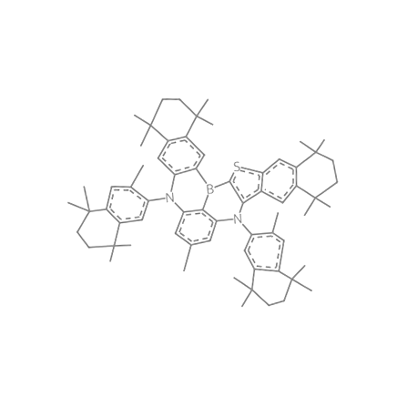 Cc1cc2c3c(c1)N(c1cc4c(cc1C)C(C)(C)CCC4(C)C)c1c(sc4cc5c(cc14)C(C)(C)CCC5(C)C)B3c1cc3c(cc1N2c1cc2c(cc1C)C(C)(C)CCC2(C)C)C(C)(C)CCC3(C)C